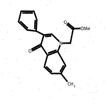 COC(=O)Cn1cc(-c2ccccc2)c(=O)c2ccc(C)cc21